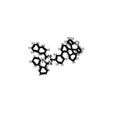 c1ccc(-c2ccccc2-c2nc(-c3cccc(-c4cccc5c4-c4ccccc4C54c5ccccc5Oc5ccccc54)c3)nc(-c3ccc4ccccc4c3)n2)cc1